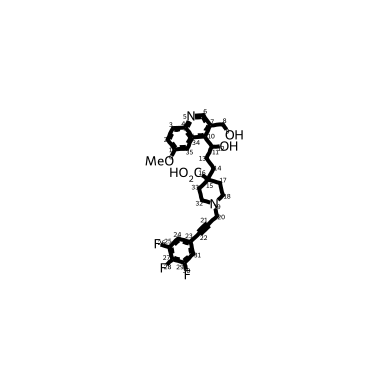 COc1ccc2ncc(CO)c(C(O)CCC3(C(=O)O)CCN(CC#Cc4cc(F)c(F)c(F)c4)CC3)c2c1